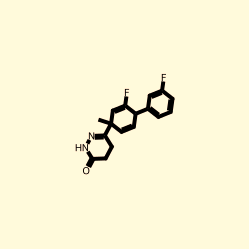 CC1(C2=NNC(=O)CC2)C=CC(c2cccc(F)c2)C(F)=C1